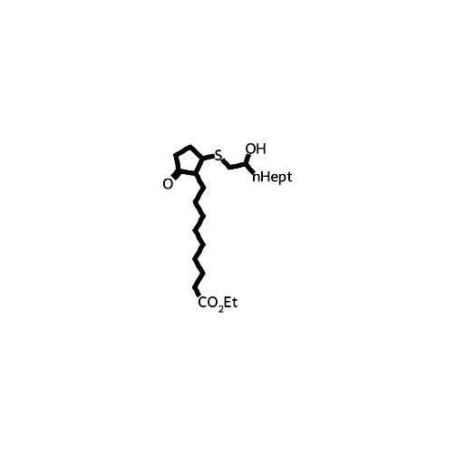 CCCCCCCC(O)CSC1CCC(=O)C1CCCCCCCCC(=O)OCC